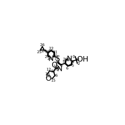 CC(C)(O)c1ccc(-c2nc(C3CCOCC3)oc2Sc2ccc(C3CC3)cn2)cn1